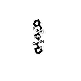 O=C(Nc1ncc(S(=O)(=O)Cc2ccccc2F)s1)c1ccccn1